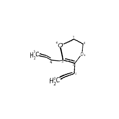 C=CC1=C(C=C)OCCO1